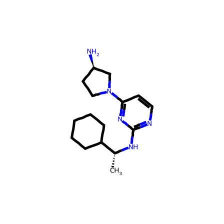 C[C@@H](Nc1nccc(N2CC[C@@H](N)C2)n1)C1CCCCC1